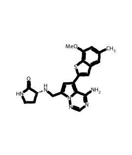 COc1cc(C)cc2cc(-c3cc(CN[C@@H]4CCNC4=O)n4ncnc(N)c34)sc12